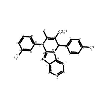 CC1=C(C(=O)O)C(c2ccc(C#N)cc2)n2c(nc3cncnc32)N1c1cccc(C(F)(F)F)c1